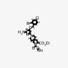 CCOC(=O)C1CC2(CCN(c3cc(OCc4ccc(Cl)cc4Br)nc(N)n3)CC2)CN1C(=O)OC(C)(C)C